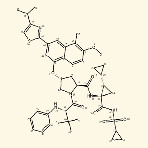 COc1ccc2c(O[C@@H]3C[C@@H](C(=O)N[C@]4(C(=O)NS(=O)(=O)C5CC5)C[C@H]4C4CC4)N(C(=O)[C@@H](Nc4ccccc4)C(C)(C)C)C3)nc(-c3nc(C(C)C)cs3)cc2c1C